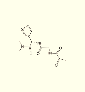 CC(=O)C(=O)NCC(=O)N[C@H](C(=O)N(C)C)c1ccsc1